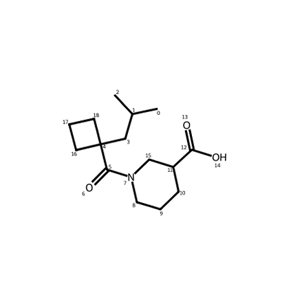 CC(C)CC1(C(=O)N2CCCC(C(=O)O)C2)CCC1